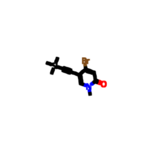 Cn1cc(C#C[Si](C)(C)C)c(Br)cc1=O